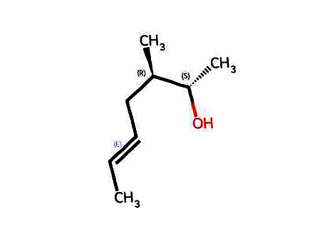 C/C=C/C[C@@H](C)[C@H](C)O